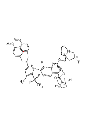 COc1ccc(CN(Cc2ccc(OC)cc2)c2cc(C)c(C(F)(F)C(F)(F)F)c(-c3ncc4c(N5C[C@H]6CC[C@@H](C5)N6C(=O)OC(C)(C)C)nc(OC[C@@]56CCCN5C[C@H](F)C6)nc4c3F)n2)cc1